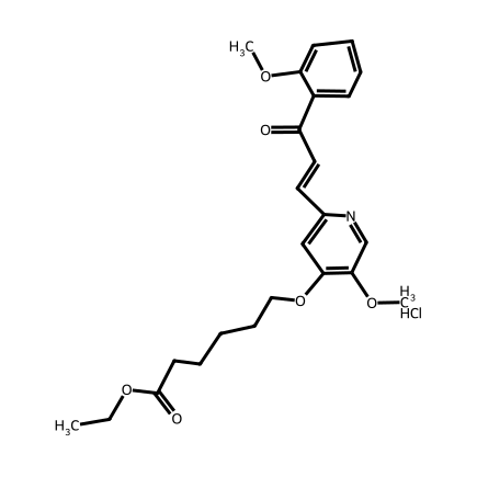 CCOC(=O)CCCCCOc1cc(C=CC(=O)c2ccccc2OC)ncc1OC.Cl